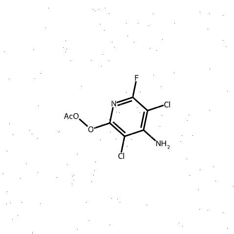 CC(=O)OOc1nc(F)c(Cl)c(N)c1Cl